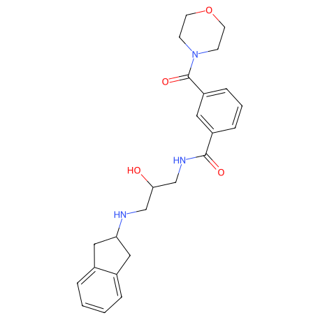 O=C(NCC(O)CNC1Cc2ccccc2C1)c1cccc(C(=O)N2CCOCC2)c1